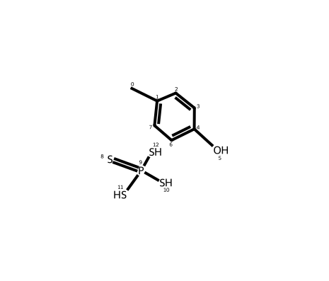 Cc1ccc(O)cc1.S=P(S)(S)S